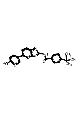 CC(C)(O)c1ccc(C(=O)Nc2nc3ccc(-c4ccc(O)nc4)nc3s2)cc1